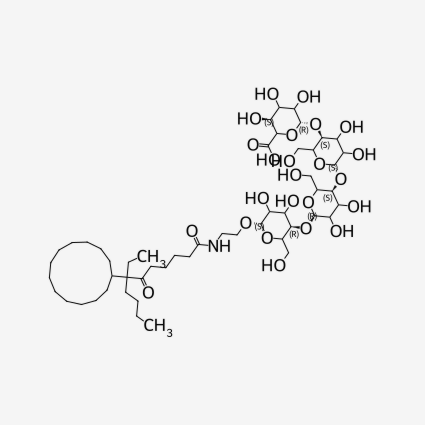 CCCCC(CC)(C(=O)CCCCC(=O)NCCO[C@H]1OC(CO)[C@H](O[C@H]2OC(CO)[C@@H](O[C@@H]3OC(CO)[C@@H](O[C@@H]4OC(C(=O)O)[C@@H](O)C(O)C4O)C(O)C3O)C(O)C2O)C(O)C1O)C1CCCCCCCCCCCC1